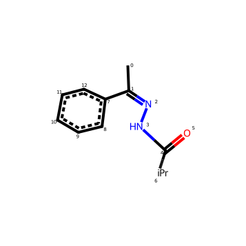 C/C(=N/NC(=O)C(C)C)c1ccccc1